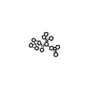 c1ccc(N(c2cc(-c3ccc4c(c3)c3ccccc3n4-c3ccccc3)cc(N(c3ccccc3)c3cccc4ccccc34)c2)c2ccc3c(c2)C2(c4ccccc4-c4ccccc42)c2ccccc2-3)cc1